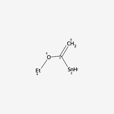 C=[C]([SnH])OCC